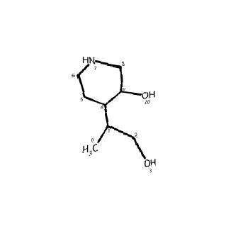 CC(CO)C1CCNCC1O